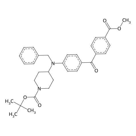 COC(=O)c1ccc(C(=O)c2ccc(N(Cc3ccccc3)C3CCN(C(=O)OC(C)(C)C)CC3)cc2)cc1